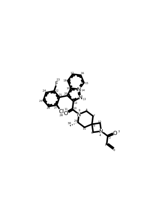 C=CC(=O)N1CC2(CCN(C(=O)c3nn4ccccc4c3-c3c(F)cccc3Cl)[C@@H](C)C2)C1